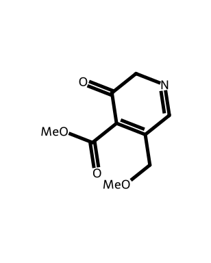 COCC1=C(C(=O)OC)C(=O)CN=C1